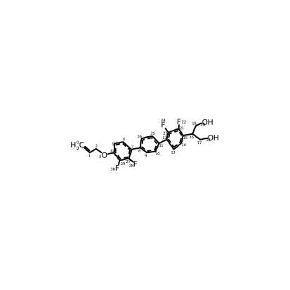 C=CCOc1ccc(-c2ccc(-c3ccc(C(CO)CO)c(F)c3F)cc2)c(F)c1F